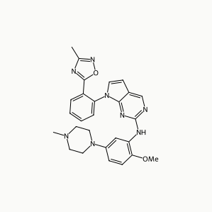 COc1ccc(N2CCN(C)CC2)cc1Nc1ncc2ccn(-c3ccccc3-c3nc(C)no3)c2n1